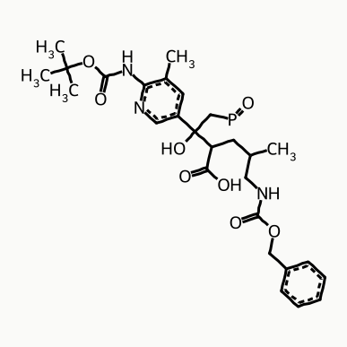 Cc1cc(C(O)(CP=O)C(CC(C)CNC(=O)OCc2ccccc2)C(=O)O)cnc1NC(=O)OC(C)(C)C